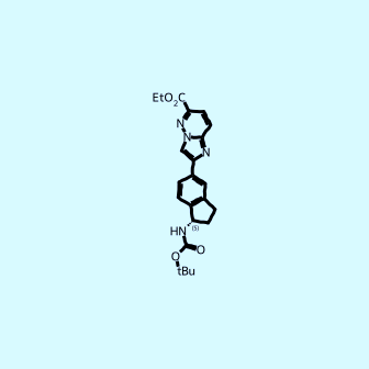 CCOC(=O)c1ccc2nc(-c3ccc4c(c3)CC[C@@H]4NC(=O)OC(C)(C)C)cn2n1